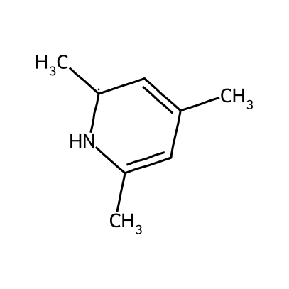 C[C]1C=C(C)C=C(C)N1